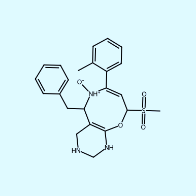 Cc1ccccc1/C1=C/C(S(C)(=O)=O)OC2=C(CNCN2)C(Cc2ccccc2)[NH+]1[O-]